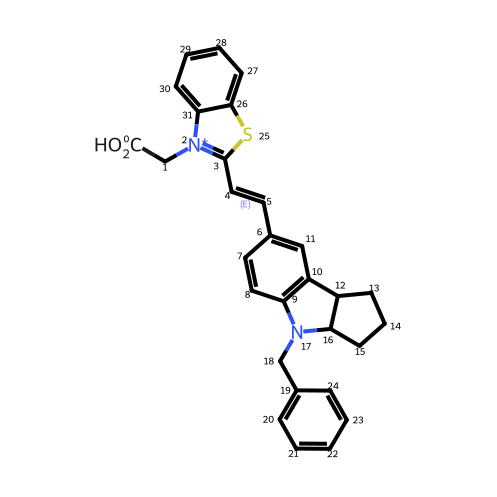 O=C(O)C[n+]1c(/C=C/c2ccc3c(c2)C2CCCC2N3Cc2ccccc2)sc2ccccc21